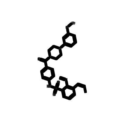 C=Nc1c(/C=C\C)cccc1S(=O)(=O)Nc1ccc(C(=O)N2CCN(c3cccc(OC(C)C)c3)CC2)cc1